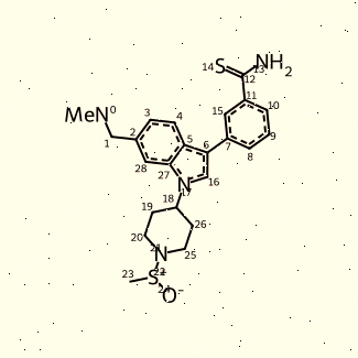 CNCc1ccc2c(-c3cccc(C(N)=S)c3)cn(C3CCN([S+](C)[O-])CC3)c2c1